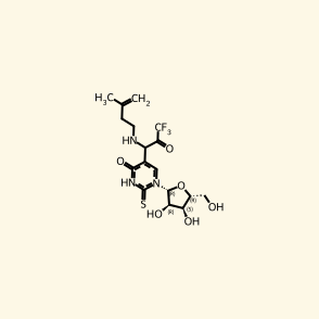 C=C(C)CCNC(C(=O)C(F)(F)F)c1cn([C@@H]2O[C@H](CO)[C@@H](O)[C@H]2O)c(=S)[nH]c1=O